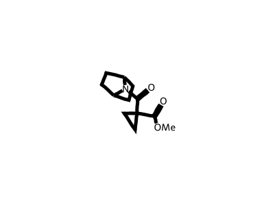 COC(=O)C1(C(=O)N2C3CCC2CC3)CC1